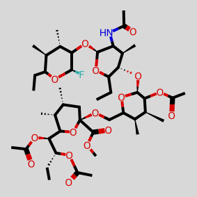 CCC1O[C@H](F)C(O[C@@H]2OC(CC)[C@@H](O[C@@H]3OC(CO[C@]4(C(=O)OC)C[C@@H](C)[C@@H](C)C([C@H](OC(C)=O)[C@@H](CC)OC(C)=O)O4)[C@H](C)[C@H](C)C3OC(C)=O)[C@H](C)C2NC(C)=O)[C@@H](C)[C@@H]1C